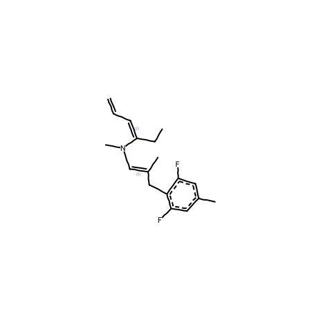 C=C/C=C(/CC)N(C)/C=C(\C)Cc1c(F)cc(C)cc1F